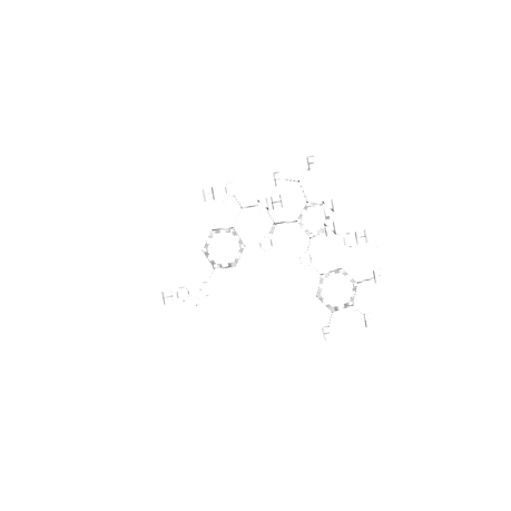 CC(NC(=O)c1c(C(F)F)nn(C)c1Oc1cc(F)c(F)c(F)c1)c1ccc(C(=O)O)cc1